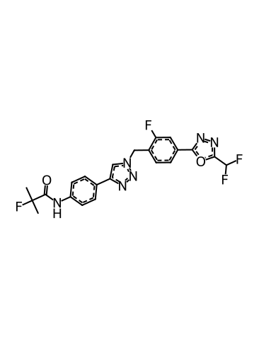 CC(C)(F)C(=O)Nc1ccc(-c2cn(Cc3ccc(-c4nnc(C(F)F)o4)cc3F)nn2)cc1